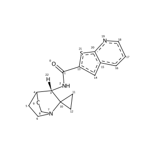 O=C(N[C@H]1C2CCN(CC2)C12CC2)c1cc2cccnc2s1